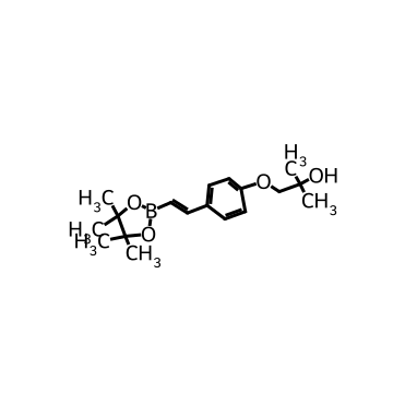 CC(C)(O)COc1ccc(C=CB2OC(C)(C)C(C)(C)O2)cc1